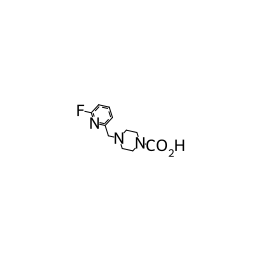 O=C(O)N1CCN(Cc2cccc(F)n2)CC1